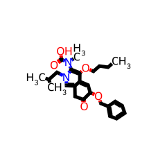 CCCCOC1=C(N(C)C(=O)O)N(CC(C)C)C=C2CC(=O)C(OCc3ccccc3)C=C21